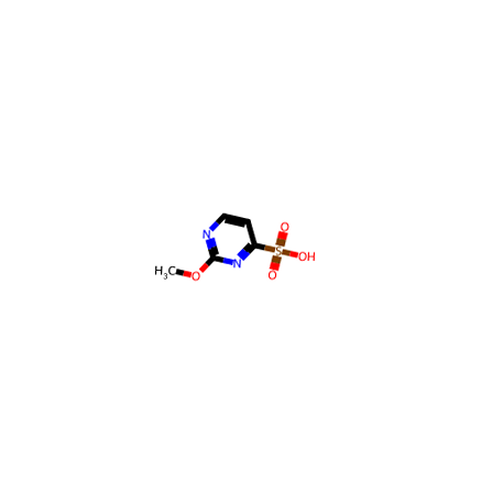 COc1nccc(S(=O)(=O)O)n1